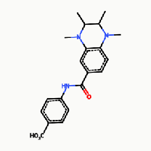 CC1C(C)N(C)c2cc(C(=O)Nc3ccc(C(=O)O)cc3)ccc2N1C